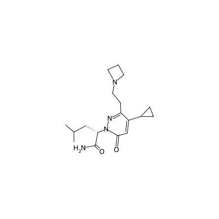 CC(C)C[C@@H](C(N)=O)n1nc(CCN2CCC2)c(C2CC2)cc1=O